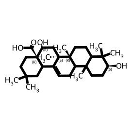 CC1(C)CC[C@@]2(C(=O)O)C(C1)C1=CCC3C4(C)CC[C@H](O)C(C)(C)C4CC[C@@]3(C)[C@]1(C)C[C@H]2O